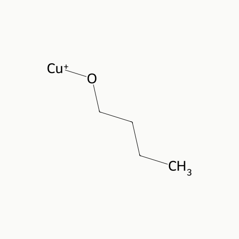 CCCC[O][Cu+]